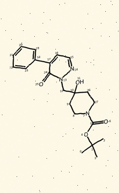 CC(C)(C)OC(=O)N1CCC(O)(Cn2nccc(-c3ccccc3)c2=O)CC1